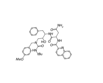 COc1ccc(CN(CC(O)C(Cc2ccccc2)NC(=O)C(CC(N)=O)NC(=O)c2ccc3ccccc3n2)C(=O)NC(C)(C)C)cc1